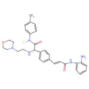 Nc1ccccc1NC(=O)C=Cc1ccc(C(NCCN2CCOCC2)C(=O)N(F)c2ccc(C(F)(F)F)cc2)cc1